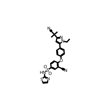 CCn1nc(C(C)(C)C#N)cc1-c1ccc(Oc2ccc(S(=O)(=O)Nc3nccs3)cc2C#N)cc1